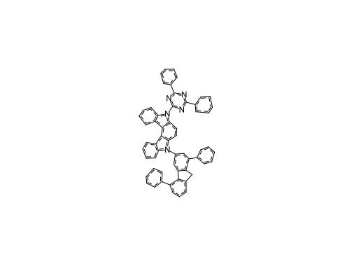 c1ccc(-c2nc(-c3ccccc3)nc(-n3c4ccccc4c4c5c6ccccc6n(-c6cc(-c7ccccc7)c7c(c6)-c6c(cccc6-c6ccccc6)C7)c5ccc43)n2)cc1